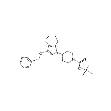 CC(C)(C)OC(=O)N1CCC(n2cc(OCc3ccccc3)c3c2CCCC3)CC1